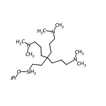 CC(C)O[SiH2]CCC(CCCN(C)C)(CCCN(C)C)CCCN(C)C